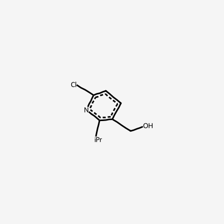 CC(C)c1nc(Cl)ccc1CO